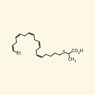 CC/C=C\C/C=C\C/C=C\C/C=C\C/C=C\CCCCSC(C)C(=O)O